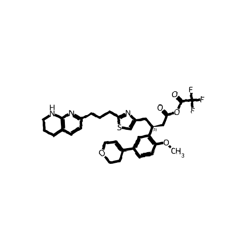 COc1ccc(C2=CCOCC2)cc1[C@H](CC(=O)OC(=O)C(F)(F)F)Cc1csc(CCCc2ccc3c(n2)NCCC3)n1